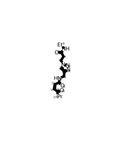 CCNC(=O)CCn1cc(CNC(=O)/C=C\C(=O)C(C)C)nn1